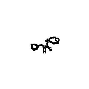 S=C(NCc1ccccc1)SN1CCOCC1